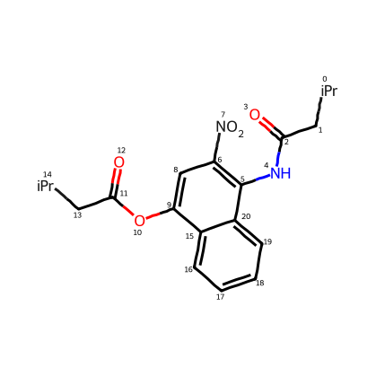 CC(C)CC(=O)Nc1c([N+](=O)[O-])cc(OC(=O)CC(C)C)c2ccccc12